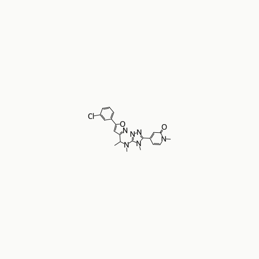 CC(c1cc(-c2cccc(Cl)c2)on1)N(C)c1nnc(-c2ccn(C)c(=O)c2)n1C